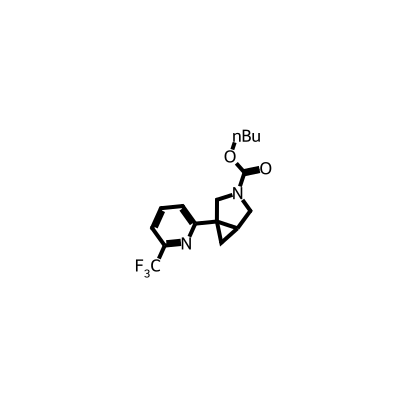 CCCCOC(=O)N1CC2CC2(c2cccc(C(F)(F)F)n2)C1